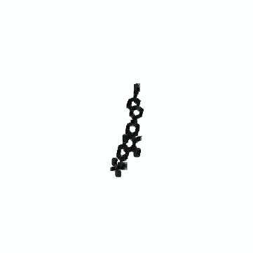 CC1C(=O)c2cc(NS(C)(=O)=O)ccc2OC12CCN(C1CCc3cc(C#N)ccc3C1)CC2